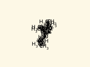 CN(C)C(=O)[C@@H](NC(=O)CNC(=O)C(=O)C(CC1CC1)NC(=O)C1[C@H]2CC(C)(C)OC2CN1C(=O)[C@@H](NC(=O)OC(C)(C)C)C1CCCCC1)c1cccs1